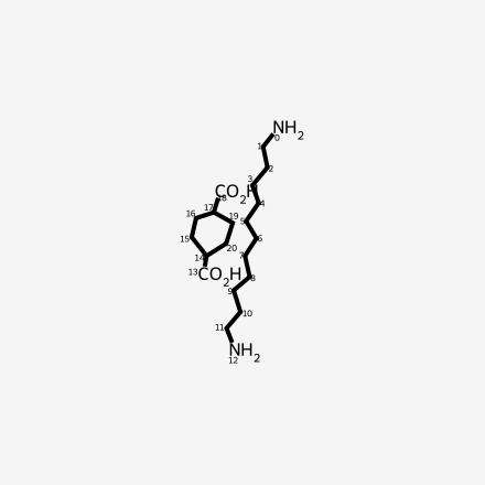 NCCCCCCCCCCCN.O=C(O)C1CCC(C(=O)O)CC1